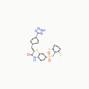 O=C1Nc2ccc(S(=O)(=O)Cc3c(F)cccc3F)cc2S/C1=C\c1ccc(-c2nn[nH]n2)cc1